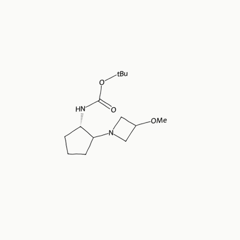 COC1CN(C2CCC[C@@H]2NC(=O)OC(C)(C)C)C1